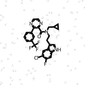 O=C(c1nccnc1-c1cccc(C(F)(F)F)c1)N(CCc1c[nH]c2cc(F)c(Cl)cc12)CC1CC1